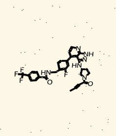 CC#CC(=O)N1CC[C@@H](Nc2n[nH]c3nccc(-c4ccc(CNC(=O)c5ccc(C(F)(F)F)cc5)c(F)c4)c23)C1